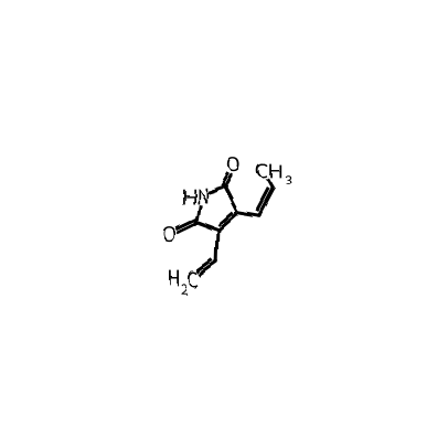 C=CC1=C(/C=C\C)C(=O)NC1=O